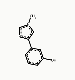 Cn1cnc(-c2cccc(O)c2)c1